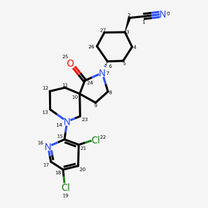 N#CC[C@H]1CC[C@H](N2CCC3(CCCN(c4ncc(Cl)cc4Cl)C3)C2=O)CC1